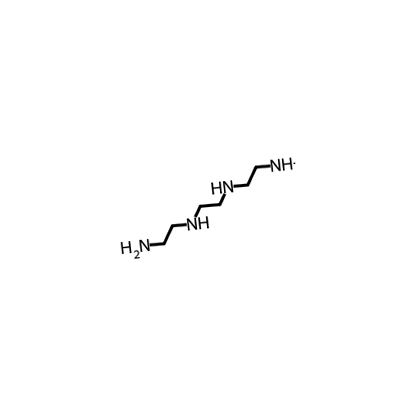 [NH]CCNCCNCCN